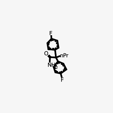 CCCC(C(N)=O)(c1ccc(F)cc1)c1ccc(F)cc1